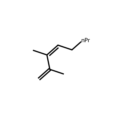 C=C(C)C(C)=CCCCC